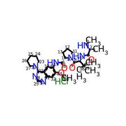 CN[C@@H](C)C(=O)N[C@H](C(=O)N1CCC[C@H]1C(=O)Nc1cc2c(N3CCCCC3)ncnc2cc1OC)C(C)(C)C.Cl